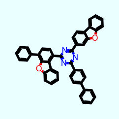 c1ccc(-c2ccc(-c3nc(-c4ccc5c(c4)oc4ccccc45)nc(-c4ccc(-c5ccccc5)c5oc6ccccc6c45)n3)cc2)cc1